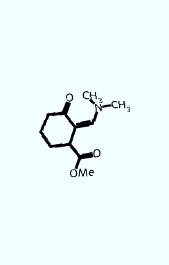 COC(=O)C1CCCC(=O)C1=CN(C)C